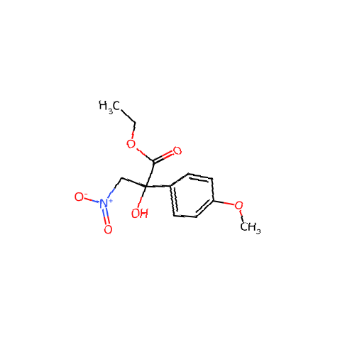 CCOC(=O)C(O)(C[N+](=O)[O-])c1ccc(OC)cc1